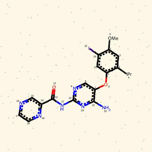 COc1cc(C(C)C)c(Oc2cnc(NC(=O)c3cnccn3)nc2N)cc1I